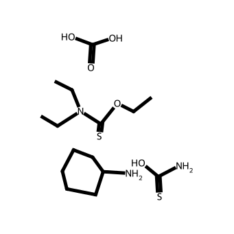 CCOC(=S)N(CC)CC.NC(O)=S.NC1CCCCC1.O=C(O)O